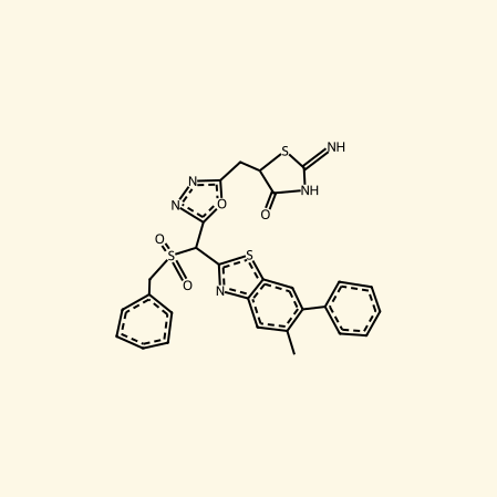 Cc1cc2nc(C(c3nnc(CC4SC(=N)NC4=O)o3)S(=O)(=O)Cc3ccccc3)sc2cc1-c1ccccc1